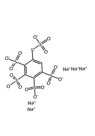 O=S(=O)([O-])Sc1cc(S(=O)(=O)[O-])c(S(=O)(=O)[O-])c(S(=O)(=O)[O-])c1S(=O)(=O)[O-].[Na+].[Na+].[Na+].[Na+].[Na+]